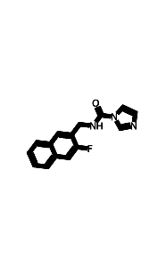 O=C(NCc1cc2ccccc2cc1F)n1ccnc1